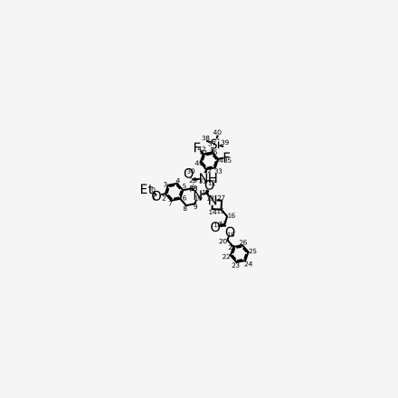 CCOc1ccc2c(c1)CCN(C(=O)N1CC(CC(=O)OCc3ccccc3)C1)[C@H]2C(=O)Nc1cc(F)c([Si](C)(C)C)c(F)c1